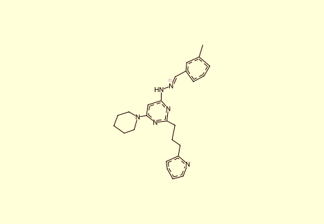 Cc1cccc(/C=N/Nc2cc(N3CCCCC3)nc(CCCc3ccccn3)n2)c1